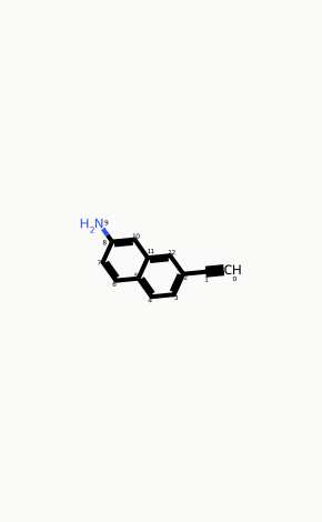 C#Cc1ccc2ccc(N)cc2c1